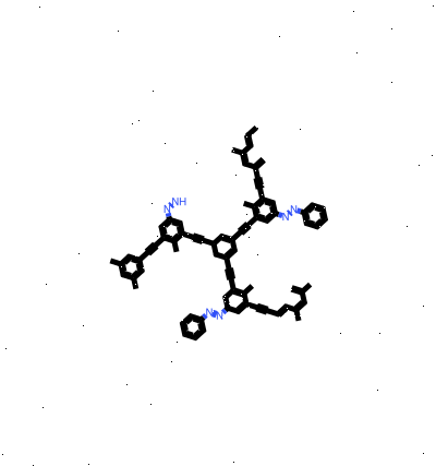 C=C(C)/C=C(C)\C=C\C#CC1=CC(/N=N/c2ccccc2)CC(C#CC2=CC(C#Cc3cc(/N=N/c4ccccc4)cc(C#CC(=C)/C=C(C)\C=C\C)c3C)=CC(C#Cc3cc(N=N)cc(C#Cc4cc(C)cc(C)c4)c3C)C2)=C1C